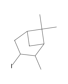 CC1C(I)CC2CC1C2(C)C